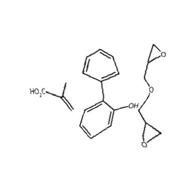 C(OCC1CO1)C1CO1.C=C(C)C(=O)O.Oc1ccccc1-c1ccccc1